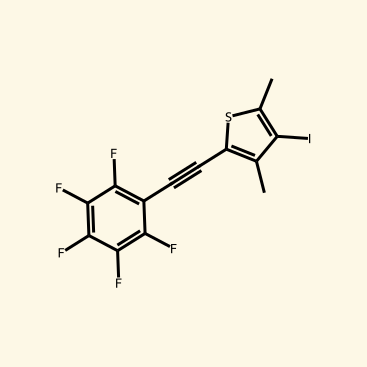 Cc1sc(C#Cc2c(F)c(F)c(F)c(F)c2F)c(C)c1I